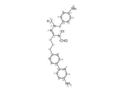 CCN(C=O)/C(CCCc1ccc(-c2ccc(N)cn2)cc1)=N\N(C)Cc1ccc(C(C)(C)C)cc1